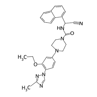 CCOc1cc(N2CCN(C(=O)NC(C#N)c3cccc4ccccc34)CC2)ccc1-n1cnc(C)n1